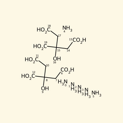 N.N.N.N.N.N.O=C(O)CC(O)(CC(=O)O)C(=O)O.O=C(O)CC(O)(CC(=O)O)C(=O)O